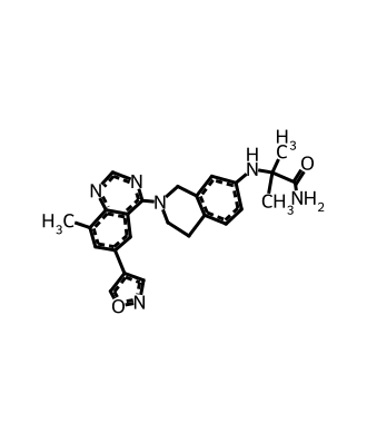 Cc1cc(-c2cnoc2)cc2c(N3CCc4ccc(NC(C)(C)C(N)=O)cc4C3)ncnc12